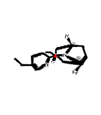 CCC(=O)N1[C@@H]2CC[C@H]1CN(c1ccc(CC)cn1)C2